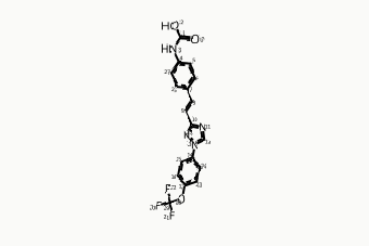 O=C(O)Nc1ccc(/C=C/c2ncn(-c3ccc(OC(F)(F)F)cc3)n2)cc1